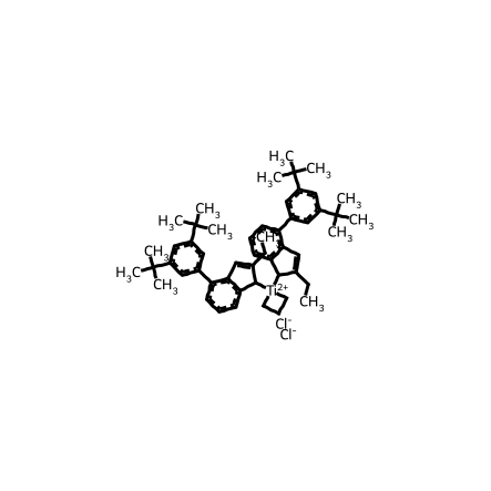 CCC1=Cc2c(-c3cc(C(C)(C)C)cc(C(C)(C)C)c3)cccc2[CH]1[Ti+2]1([CH]2C(CC)=Cc3c(-c4cc(C(C)(C)C)cc(C(C)(C)C)c4)cccc32)[CH2]C[CH2]1.[Cl-].[Cl-]